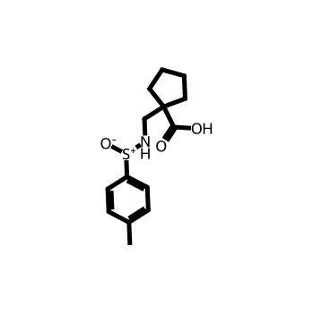 Cc1ccc([S+]([O-])NCC2(C(=O)O)CCCC2)cc1